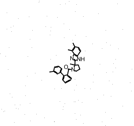 Cc1cccc(-c2ccccc2C(=O)N2CCCC2(C)c2nc3c(C)c(C)ccc3[nH]2)c1